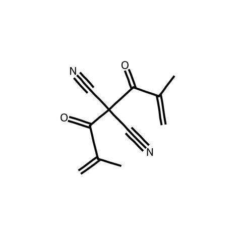 C=C(C)C(=O)C(C#N)(C#N)C(=O)C(=C)C